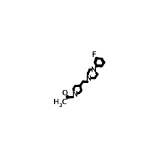 CC(=O)CN1CCC(CCN2CCN(c3cccc(F)c3)CC2)CC1